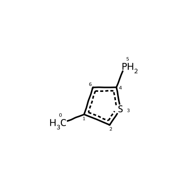 Cc1csc(P)c1